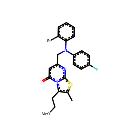 CCc1ccccc1N(Cc1cc(=O)n2c(CCOC)c(C)sc2n1)c1ccc(F)cc1